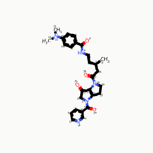 CC(CCNC(=O)c1ccc(N(C)C)cc1)CC(=O)N1CCC2C1C(=O)CN2C(=O)c1cccnc1